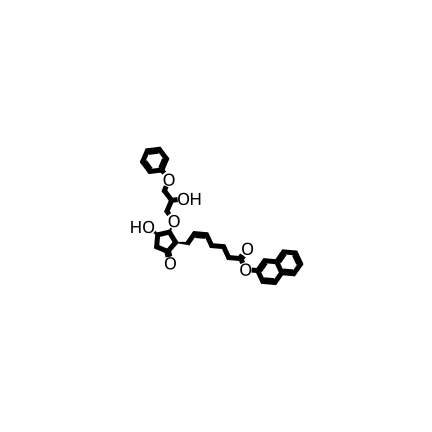 O=C(CCC/C=C\C[C@H]1C(=O)C[C@@H](O)[C@@H]1OCC(O)COc1ccccc1)Oc1ccc2ccccc2c1